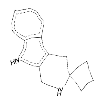 c1ccc2c3c([nH]c2c1)CNC1(CCC1)C3